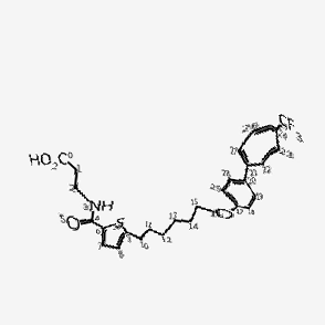 O=C(O)CCNC(=O)c1ccc(CCCCCCOc2ccc(-c3ccc(C(F)(F)F)cc3)cc2)s1